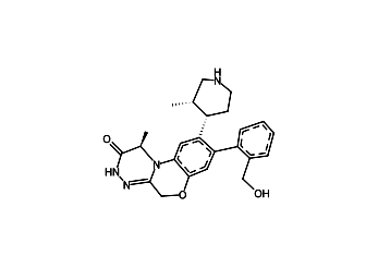 C[C@@H]1CNCC[C@@H]1c1cc2c(cc1-c1ccccc1CO)OCC1=NNC(=O)[C@@H](C)N12